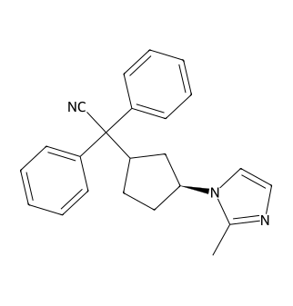 Cc1nccn1[C@H]1CCC(C(C#N)(c2ccccc2)c2ccccc2)C1